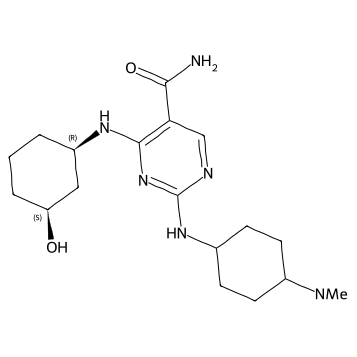 CNC1CCC(Nc2ncc(C(N)=O)c(N[C@@H]3CCC[C@H](O)C3)n2)CC1